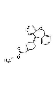 CCOC(=O)CN1CCC(=C2c3ccccc3COc3ccccc32)CC1